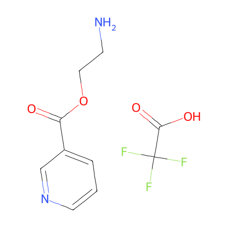 NCCOC(=O)c1cccnc1.O=C(O)C(F)(F)F